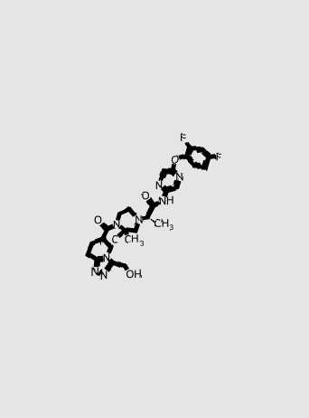 C[C@@H](C(=O)Nc1cnc(Oc2ccc(F)cc2F)cn1)N1CCN(C(=O)C2CCc3nnc(CO)n3C2)C(C)(C)C1